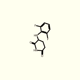 O=C1CCC(Nc2c(F)cccc2F)C(=O)N1